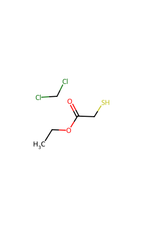 CCOC(=O)CS.ClCCl